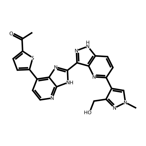 CC(=O)c1ccc(-c2ccnc3[nH]c(-c4n[nH]c5ccc(-c6cn(C)nc6CO)nc45)nc23)s1